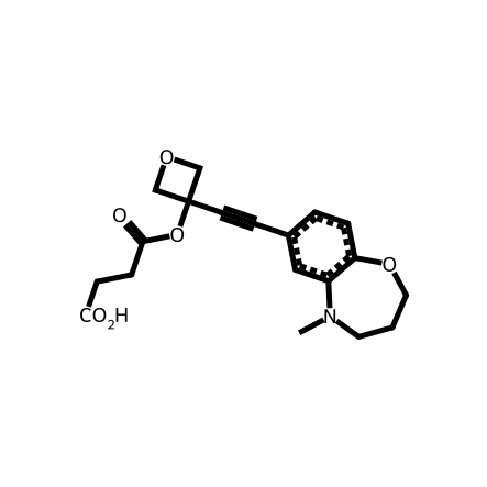 CN1CCCOc2ccc(C#CC3(OC(=O)CCC(=O)O)COC3)cc21